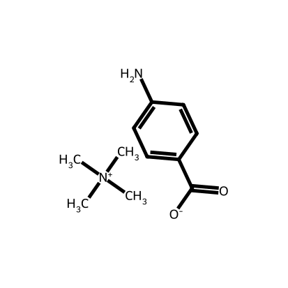 C[N+](C)(C)C.Nc1ccc(C(=O)[O-])cc1